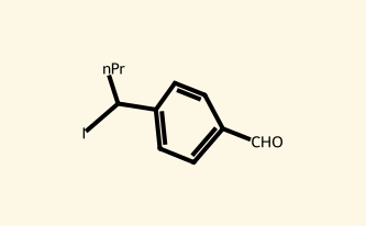 CCCC(I)c1ccc(C=O)cc1